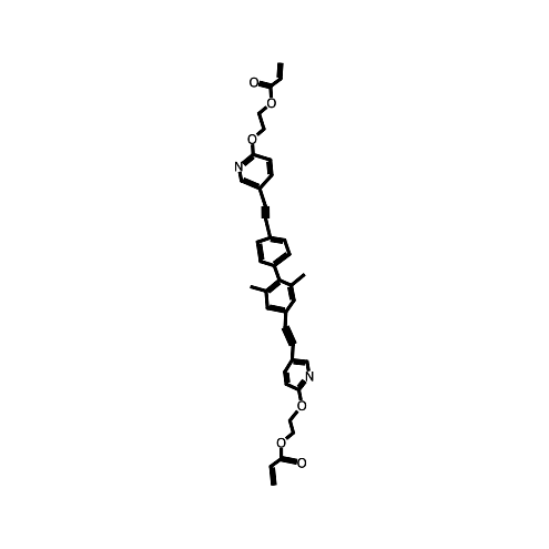 C=CC(=O)OCCOc1ccc(C#Cc2ccc(-c3c(C)cc(C#Cc4ccc(OCCOC(=O)C=C)nc4)cc3C)cc2)cn1